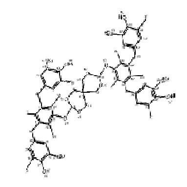 Cc1cc(Cc2c(C)c(Cc3cc(C)c(O)c(C(C)(C)C)c3)c(C)c(OP3OCC4(CO3)COP(Oc3c(C)c(Cc5cc(C)c(O)c(C(C)(C)C)c5)c(C)c(Cc5cc(C)c(O)c(C(C)(C)C)c5)c3C)OC4)c2C)cc(C(C)(C)C)c1O